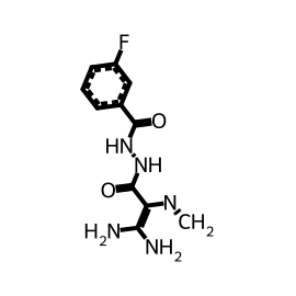 C=NC(C(=O)NNC(=O)c1cccc(F)c1)=C(N)N